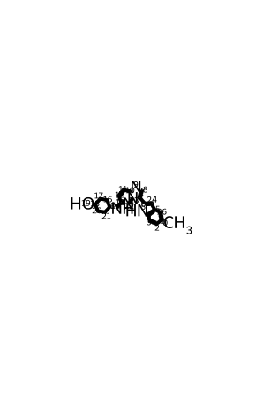 Cc1ccc2[nH]c(-c3cnc4ccc(N[C@H]5CC[C@H](O)CC5)nn34)cc2c1